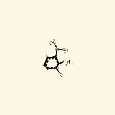 Cc1c(Cl)cccc1N(O)N=O